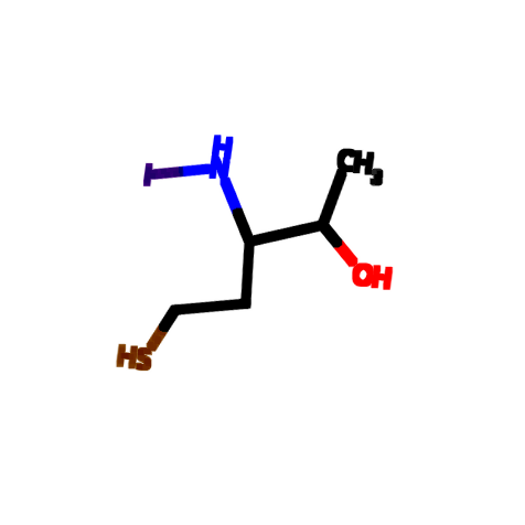 CC(O)C(CCS)NI